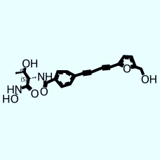 C[C@@H](O)[C@H](NC(=O)c1ccc(C#CC#Cc2ccc(CO)o2)cc1)C(=O)NO